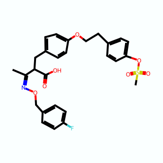 CC(=NOCc1ccc(F)cc1)C(Cc1ccc(OCCc2ccc(OS(C)(=O)=O)cc2)cc1)C(=O)O